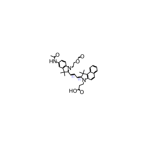 CC(=O)Nc1ccc2c(c1)C(C)(C)C(/C=C/C=C1/N(CCC(=O)O)c3ccc4ccccc4c3C1(C)C)=[N+]2CCOC=O